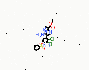 CCOC(=O)c1cnn2c(N)c(-c3ccc(NS(=O)(=O)c4ccccc4)c(Cl)c3Cl)cnc12